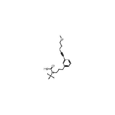 COCCCC#Cc1cccc(CCCN(C(=O)O)C(C)(C)C)c1